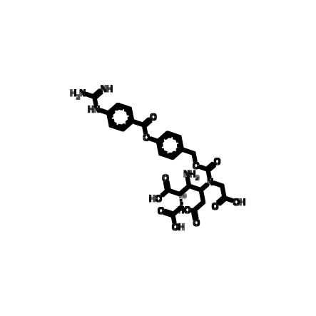 N=C(N)Nc1ccc(C(=O)Oc2ccc(COC(=O)N(CC(=O)O)C(CC(=O)O)C(N)[C@H](CC(=O)O)C(=O)O)cc2)cc1